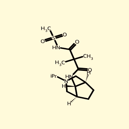 CC(C)N1C[C@H]2CC[C@@H](C1)[C@@H]2NC(=O)C(C)(C)C(=O)NS(C)(=O)=O